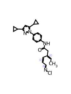 C\C=C(/C=C\C=N\Cl)CC(=O)Nc1ccc(-n2nc(C3CC3)cc2C2CC2)cc1